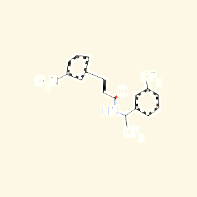 O=C(C=Cc1cccc([N+](=O)[O-])c1)NC(c1cccc(C(F)(F)F)c1)C(F)(F)F